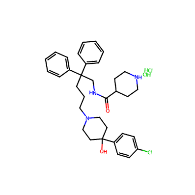 Cl.Cl.O=C(NCC(CCCN1CCC(O)(c2ccc(Cl)cc2)CC1)(c1ccccc1)c1ccccc1)C1CCNCC1